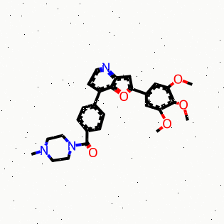 COc1cc(-c2cc3nccc(-c4ccc(C(=O)N5CCN(C)CC5)cc4)c3o2)cc(OC)c1OC